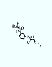 C=CC(=O)Nc1cccc(S(=O)(=O)NC(C)CC)c1